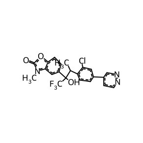 CC(c1ccc(-c2ccnnc2)cc1Cl)C(O)(c1ccc2oc(=O)n(C)c2c1)C(F)(F)F